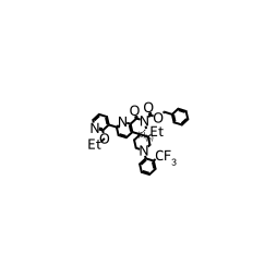 CCOc1ncccc1-c1ccc2c(n1)C(=O)N(C(=O)OCc1ccccc1)C[C@]21CCN(c2ccccc2C(F)(F)F)C[C@H]1CC